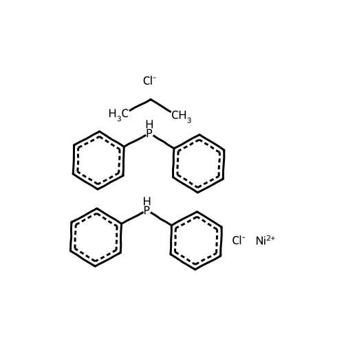 CCC.[Cl-].[Cl-].[Ni+2].c1ccc(Pc2ccccc2)cc1.c1ccc(Pc2ccccc2)cc1